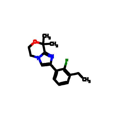 CCc1cccc(-c2cn3c(n2)C(C)(C)OCC3)c1F